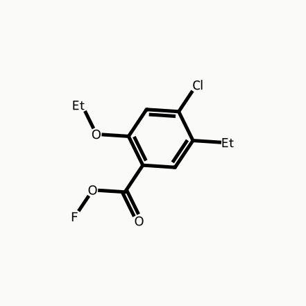 CCOc1cc(Cl)c(CC)cc1C(=O)OF